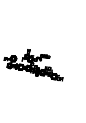 CO[C@@H](C)COc1nc2[nH]cc(F)c2cc1Oc1cc(N2CCC3(CC2)CN(C2CCC[C@@H]2c2ccccc2C(C)C)C3)ccc1C(=O)NS(=O)(=O)c1ccc(NC[C@H]2CC[C@](C)(O)CC2)c([N+](=O)[O-])c1